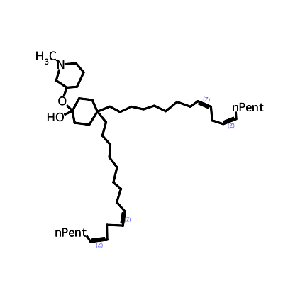 CCCCC/C=C\C/C=C\CCCCCCCCC1(CCCCCCCC/C=C\C/C=C\CCCCC)CCC(O)(OC2CCCN(C)C2)CC1